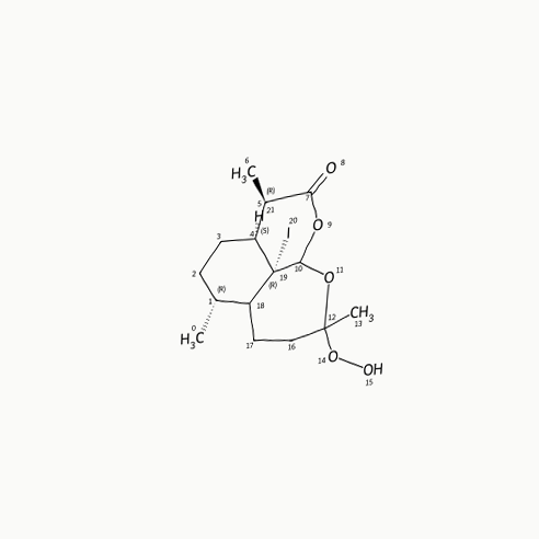 C[C@@H]1CC[C@H]2[C@@H](C)C(=O)OC3OC(C)(OO)CCC1[C@]32I